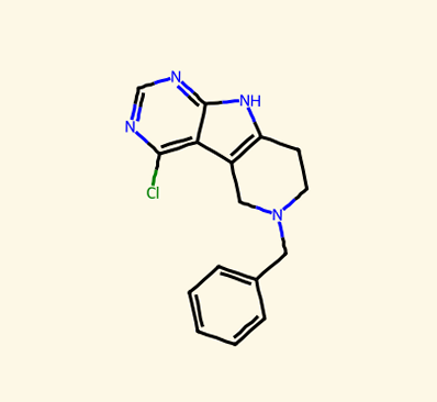 Clc1ncnc2[nH]c3c(c12)CN(Cc1ccccc1)CC3